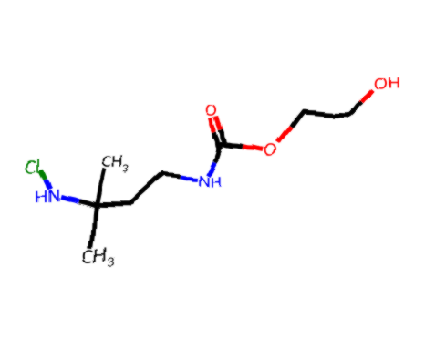 CC(C)(CCNC(=O)OCCO)NCl